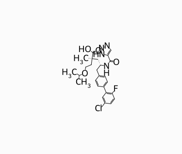 CC(C)OCC[C@](C)(C[C@@H](Cc1ccc(-c2cc(Cl)ccc2F)cc1)NC(=O)c1cnn[nH]1)C(=O)O